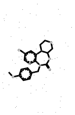 COc1ccc(CN2C(=O)OC3COCCC3c3cc(Cl)cnc32)cc1